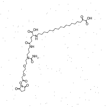 NC(=O)N(CCCNC(=O)CC[C@H](NCCCCCCCCCCCCCCCCC(=O)C(=O)O)C(=O)O)CCOCCOCC(=O)ON1C(=O)CCC1=O